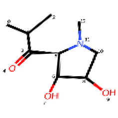 CC(C)C(=O)[C@@H]1C(O)C(O)CN1C